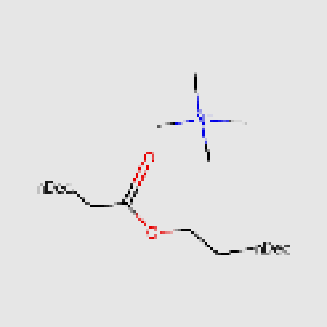 CCCCCCCCCCCCOC(=O)CCCCCCCCCCC.C[N+](C)(C)C